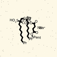 CC(C)CCCCCCCC(CC(=O)[O-])(C(=O)[O-])S(=O)(=O)O.CC(C)CCCCCC[CH2][Na].CCCCCOC(=O)CCC(=O)OCCCCC.[Na+].[Na+]